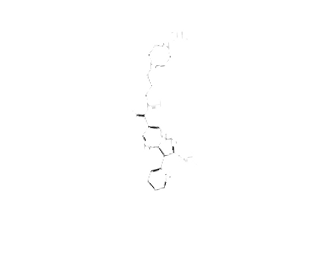 CN1CCN(CCCNC(=O)c2cnc3c(-c4ccccn4)c(N)nn3c2)CC1